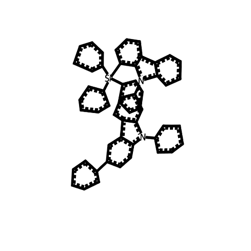 c1ccc(-c2ccc3c(c2)c2ccc(-n4c5ccccc5c5cccc([Si](c6ccccc6)(c6ccccc6)c6ccccc6)c54)cc2n3-c2ccccc2)cc1